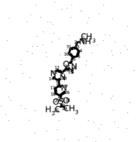 CNCc1ccc(-c2nnc(-c3cncc(-c4ccc(S(=O)(=O)C(C)C)cn4)n3)o2)cc1